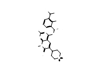 Cc1nc(N[C@H](C)c2cccc(C(F)F)c2F)c2cc(C3CCS(=O)(=O)CC3)c(=O)n(C)c2n1